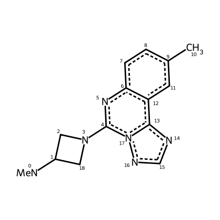 CNC1CN(c2nc3ccc(C)cc3c3ncnn23)C1